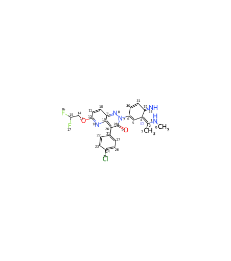 CN/C(C)=C1/C=C(n2nc3ccc(OCC(F)F)nc3c(-c3ccc(Cl)cc3)c2=O)C=CC1=N